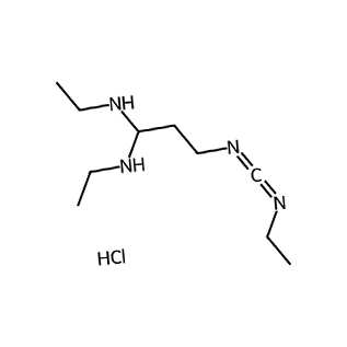 CCN=C=NCCC(NCC)NCC.Cl